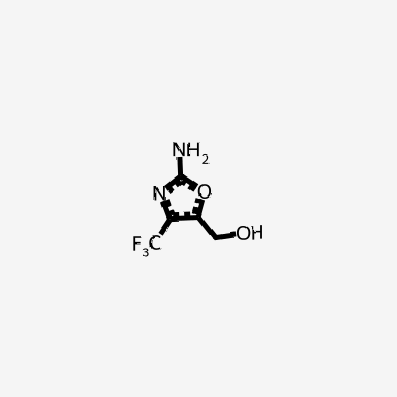 Nc1nc(C(F)(F)F)c(CO)o1